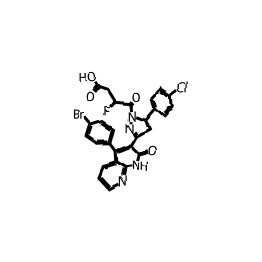 O=C(O)CC(F)C(=O)N1N=C(c2c(-c3ccc(Br)cc3)c3cccnc3[nH]c2=O)CC1c1ccc(Cl)cc1